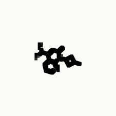 C=C1C=C(C(F)F)c2cccnc2N1C1CC(C)C1